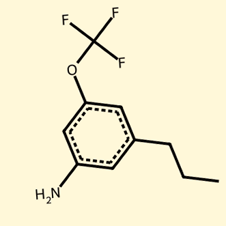 CCCc1cc(N)cc(OC(F)(F)F)c1